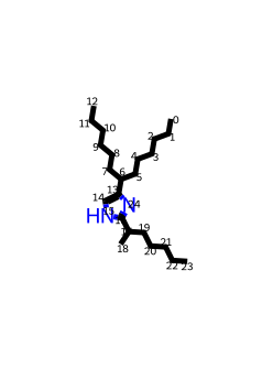 CCCCCCC(CCCCCC)c1c[nH]c(C(C)CCCCC)n1